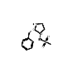 CS(=O)(=O)N[C@@H]1CCN[C@H]1Cc1ccccc1